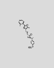 CCCCOc1ccc(C(C)NC(=O)CSCc2nc(-c3ccccc3C)oc2C)cc1